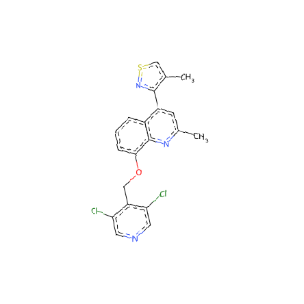 Cc1cc(-c2nscc2C)c2cccc(OCc3c(Cl)cncc3Cl)c2n1